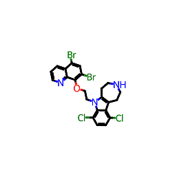 Clc1ccc(Cl)c2c1c1c(n2CCOc2c(Br)cc(Br)c3cccnc23)CCNCC1